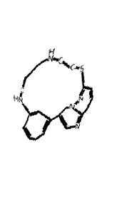 c1cc2cc(c1)-c1cnc3ccc(nn13)SCCNCCCN2